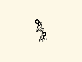 O=C(NS(=O)(=O)Cc1noc2ccccc12)c1ccc(C(=O)C(F)(F)F)s1